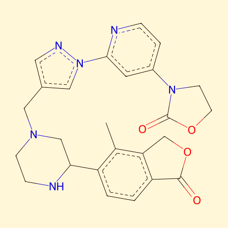 Cc1c(C2CN(Cc3cnn(-c4cc(N5CCOC5=O)ccn4)c3)CCN2)ccc2c1COC2=O